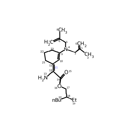 C=C(C)CN(CC(=C)C)C1=C/C(=C(/N)C(=O)OCC(CC)CCCC)CCC1